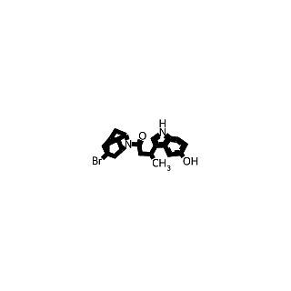 CC(CC(=O)N1C2CC3CC1CC(Br)(C3)C2)c1c[nH]c2ccc(O)cc12